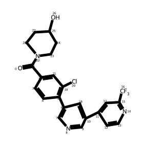 O=C(c1ccc(-c2cncc(-c3ccnc(C(F)(F)F)c3)c2)c(Cl)c1)N1CCC(O)CC1